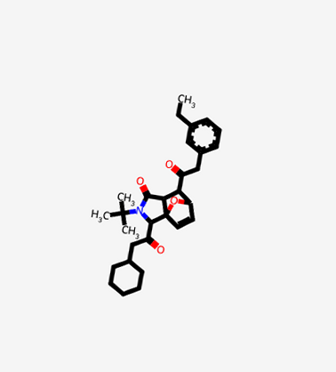 CCc1cccc(CC(=O)C2C3C=CC4(O3)C2C(=O)N(C(C)(C)C)C4C(=O)CC2CCCCC2)c1